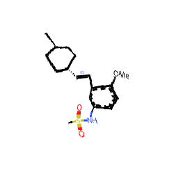 COc1ccc(NS(C)(=O)=O)cc1/C=C/[C@H]1CC[C@H](C)CC1